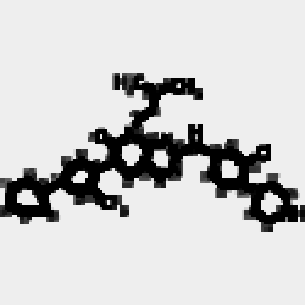 CN(C)CCn1c(=O)c(-c2ccc(-c3ccccc3)cc2C(F)(F)F)cc2cnc(Nc3ccc(N4CCNCC4)c(Cl)c3)nc21